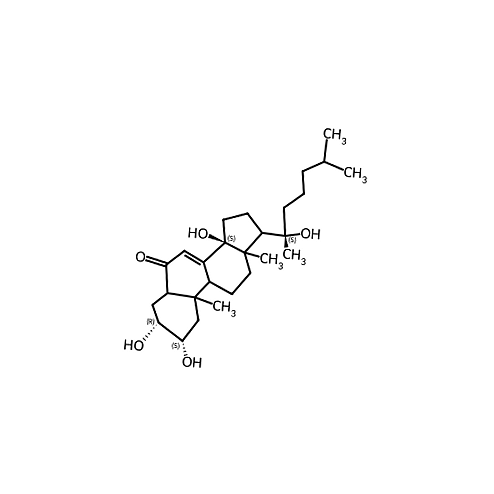 CC(C)CCC[C@](C)(O)C1CC[C@@]2(O)C3=CC(=O)C4C[C@@H](O)[C@@H](O)CC4(C)C3CCC12C